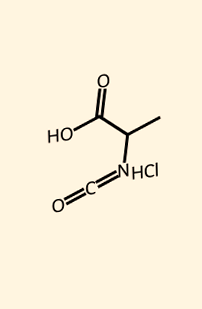 CC(N=C=O)C(=O)O.Cl